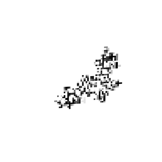 COc1cc2c(cc1OCCCP(=O)(CCCO)CCCOc1cc3c(cc1OC)C(=O)N1CC(F)C[C@H]1CN3)NC[C@@H]1CC(F)CN1C2=O